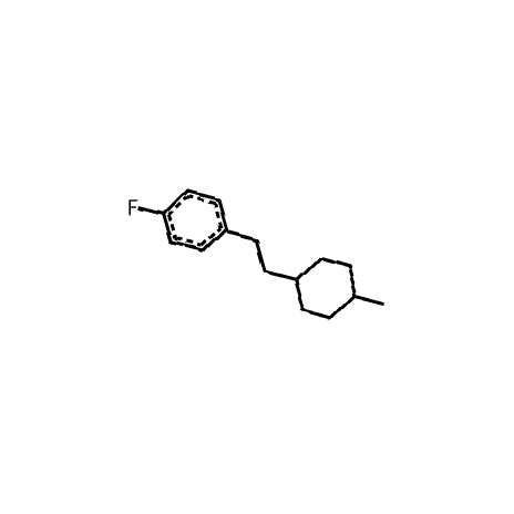 CC1CCC(CCc2ccc(F)cc2)CC1